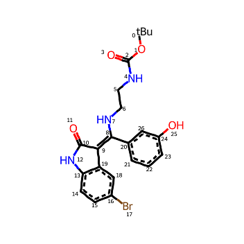 CC(C)(C)OC(=O)NCCN/C(=C1\C(=O)Nc2ccc(Br)cc21)c1cccc(O)c1